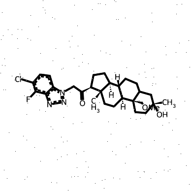 COC[C@]12CC[C@@](C)(O)CC1CC[C@@H]1[C@@H]2CC[C@]2(C)[C@@H](C(=O)Cn3nnc4c(F)c(Cl)ccc43)CC[C@@H]12